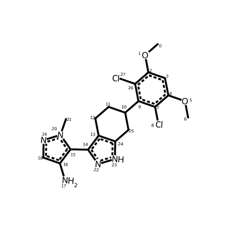 COc1cc(OC)c(Cl)c(C2CCc3c(-c4c(N)cnn4C)n[nH]c3C2)c1Cl